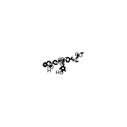 CCOC(=O)CCN(CC)CC(C)C1CCN(C(=O)[C@@H](Cc2cc(C)c(O)c(C)c2)OC(=O)N2CCC(N3CCc4ccccc4NC3=O)CC2)CC1